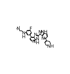 CN(C)CCNc1cc(F)cc(-c2ccnc3[nH]c(-c4n[nH]c5ccc(C6=CCNCC6)nc45)nc23)c1